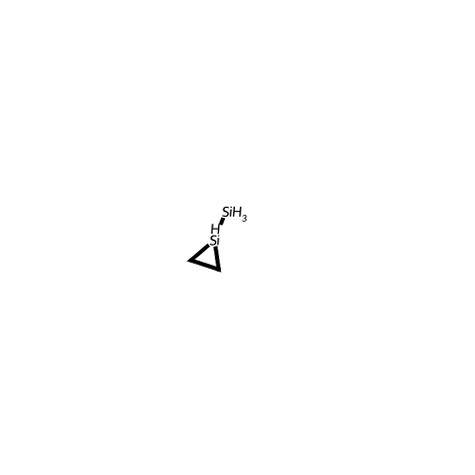 [SiH3][SiH]1CC1